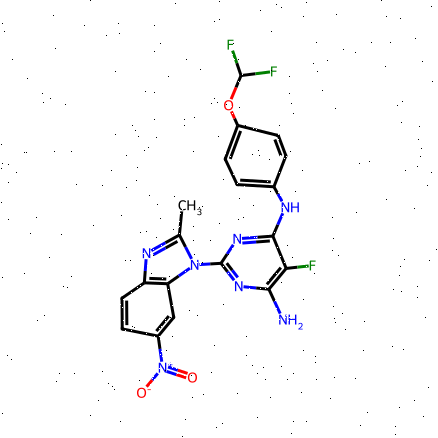 Cc1nc2ccc([N+](=O)[O-])cc2n1-c1nc(N)c(F)c(Nc2ccc(OC(F)F)cc2)n1